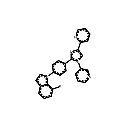 Fc1cccc2ccn(-c3ccc(-c4nc(-c5ccccn5)cn4-c4cccnc4)cc3)c12